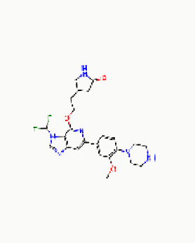 COc1cc(-c2cc3ncn(C(F)F)c3c(OCC[C@H]3CNC(=O)C3)n2)ccc1N1CCNCC1